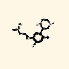 C[S+]([O-])CCOc1cc(C2CNCCN2)c(F)cc1F